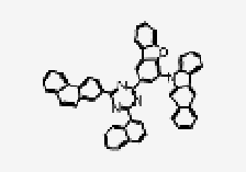 c1ccc2cc3c(cc2c1)c1ccccc1n3-c1cc(-c2nc(-c3ccc4c(ccc5ccccc54)c3)nc(-c3cccc4ccccc34)n2)cc2c1oc1ccccc12